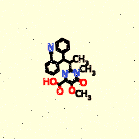 COc1c(C(=O)O)nc(C(C)C(c2ccccc2)c2ccccc2C#N)n(C)c1=O